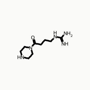 N=C(N)NCCCC(=O)N1CCNCC1